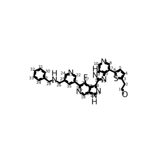 O=CCc1ccc(-c2cncc3[nH]c(-c4n[nH]c5cnc(-c6cncc(CNCc7ccccc7)c6)c(F)c45)nc23)s1